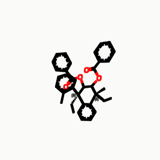 CC[C@@]1(c2ccccc2C)c2ccccc2[C@@](C)(CC)C(OC(=O)c2ccccc2)C1OC(=O)c1ccccc1